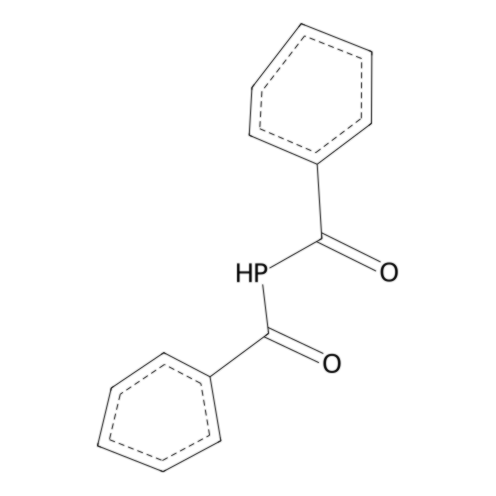 O=C(PC(=O)c1ccccc1)c1ccccc1